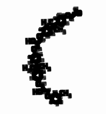 Cc1cccc(OCC(O)COc2ccc(C(C)(C)c3ccc(OCC(O)COc4ccc(C(C)(C)c5ccc(OCC6CO6)cc5)cc4)cc3)cc2)c1